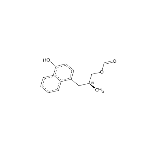 C[C@H](COC=O)Cc1ccc(O)c2ccccc12